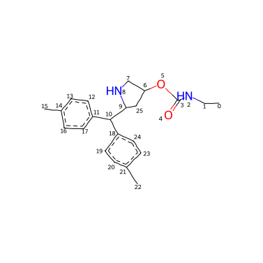 CCNC(=O)OC1CNC(C(c2ccc(C)cc2)c2ccc(C)cc2)C1